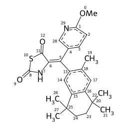 COc1ccc(C(=C2NC(=O)SC2=O)c2cc3c(cc2C)C(C)(C)CCC3(C)C)cn1